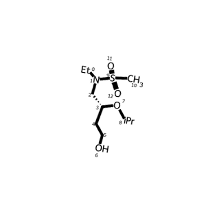 CCN(C[C@@H](CCO)OC(C)C)S(C)(=O)=O